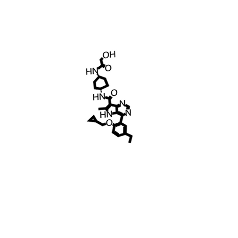 CCc1ccc(OCC2CC2)c(-c2ncnc3c(C(=O)N[C@H]4CC[C@H](NC(=O)CO)CC4)c(C)[nH]c23)c1